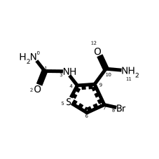 NC(=O)Nc1scc(Br)c1C(N)=O